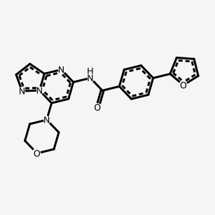 O=C(Nc1cc(N2CCOCC2)n2nccc2n1)c1ccc(-c2ccco2)cc1